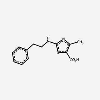 Cc1nc(NCCc2ccccc2)sc1C(=O)O